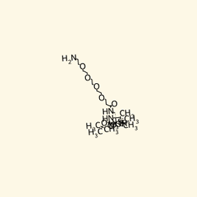 CC([C@](CNC(=O)CCOCCOCCOCCOCCN)(NC(=O)OC(C)(C)C)C(=O)O)[Si](C)(C)C